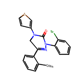 COc1ccccc1C1=NN(c2ccccc2Br)C(=O)N(c2ccsc2)C1